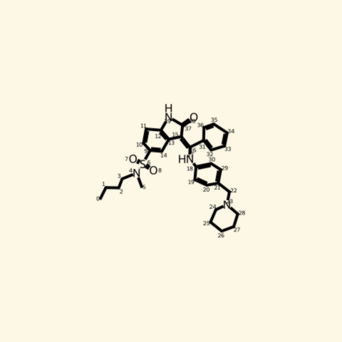 CCCCN(C)S(=O)(=O)c1ccc2c(c1)C(=C(Nc1ccc(CN3CCCCC3)cc1)c1ccccc1)C(=O)N2